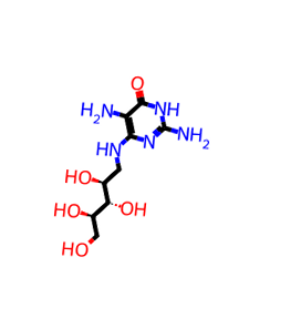 Nc1nc(NC[C@H](O)[C@H](O)[C@H](O)CO)c(N)c(=O)[nH]1